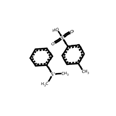 C[S+](C)c1ccccc1.Cc1ccc(S(=O)(=O)O)cc1